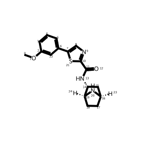 COc1cccc(-c2cnc(C(=O)N[C@@H]3C[C@H]4CC[C@@H]3N4)s2)c1